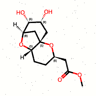 COC(=O)C[C@H]1CC[C@@H]2O[C@@H]3C[C@]2(C[C@@H](O)[C@H]3O)O1